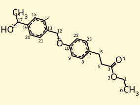 CCOC(=O)CCc1ccc(OCc2ccc(C(C)O)cc2)cc1